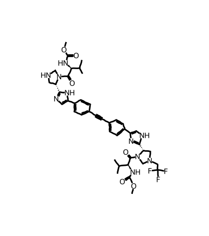 COC(=O)N[C@H](C(=O)N1CN(CC(F)(F)F)C[C@H]1c1nc(-c2ccc(C#Cc3ccc(-c4cnc([C@@H]5CNCN5C(=O)[C@@H](NC(=O)OC)C(C)C)[nH]4)cc3)cc2)c[nH]1)C(C)C